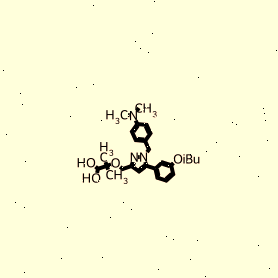 CC(C)COc1cccc(-c2cc(COC(C)(C)C(O)O)nn2Cc2ccc(N(C)C)cc2)c1